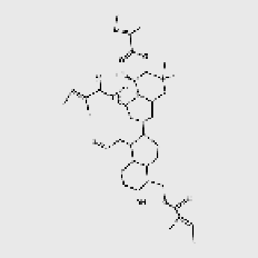 C/C=C(\C)C(=O)OCC1C(O)CCC2C1CCC(C1CC3CC(C)(C)C(OC(=O)/C(C)=C/C)[C@H](O)[C@]3(COC(=O)/C(C)=C/C)[C@H](O)C1)C2CC=S